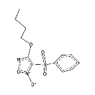 CCCCOc1no[n+]([O-])c1S(=O)(=O)c1ccccc1